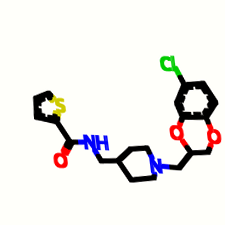 O=C(NCC1CCN(CC2COc3ccc(Cl)cc3O2)CC1)c1cccs1